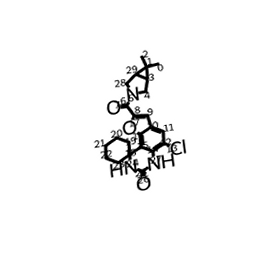 CC1(C)C2CN(C(=O)c3cc4cc(Cl)c5c(c4o3)C3(CCCCC3)NC(=O)N5)CC21